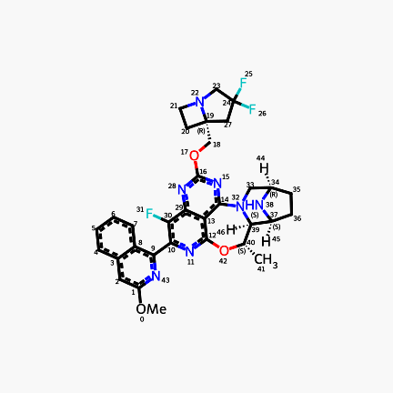 COc1cc2ccccc2c(-c2nc3c4c(nc(OC[C@]56CCN5CC(F)(F)C6)nc4c2F)N2C[C@H]4CC[C@H](N4)[C@H]2[C@H](C)O3)n1